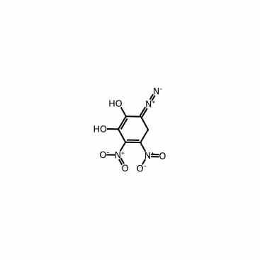 [N-]=[N+]=C1CC([N+](=O)[O-])=C([N+](=O)[O-])C(O)=C1O